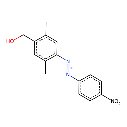 Cc1cc(/N=N/c2ccc([N+](=O)[O-])cc2)c(C)cc1CO